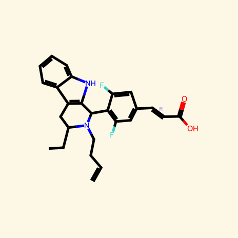 C=CCCN1C(CC)Cc2c([nH]c3ccccc23)C1c1c(F)cc(/C=C/C(=O)O)cc1F